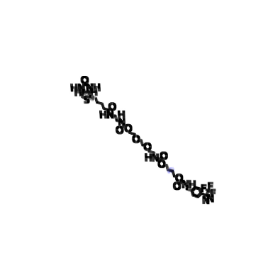 O=C(CCCC[C@@H]1SC[C@@H]2NC(=O)N[C@@H]21)NCCNC(=O)OCCOCCOCCNC(=O)OC/C=C/COC(=O)NCc1ccc(C2(C(F)(F)F)N=N2)cc1